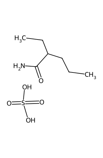 CCCC(CC)C(N)=O.O=S(=O)(O)O